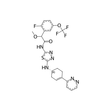 COC(C(=O)Nc1nnc(N[C@H]2CC=C(c3cccnn3)CC2)s1)c1cc(OC(F)(F)F)ccc1F